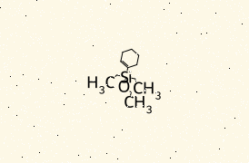 CCO[Si](CC)(CC)C1=CCCCC1